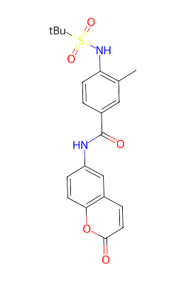 Cc1cc(C(=O)Nc2ccc3oc(=O)ccc3c2)ccc1NS(=O)(=O)C(C)(C)C